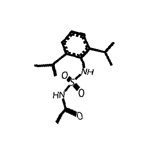 CC(=O)NS(=O)(=O)Nc1c(C(C)C)cccc1C(C)C